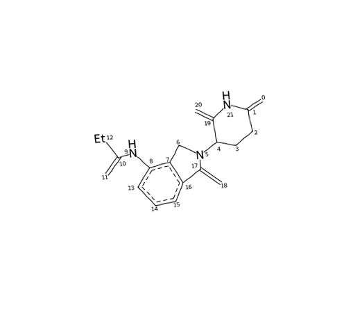 C=C1CCC(N2Cc3c(NC(=C)CC)cccc3C2=C)C(=C)N1